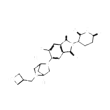 O=C1CCC(N2C(=O)c3cc(F)c(N4C[C@@H]5C[C@H]4CN5CC4CNC4)cc3C2=O)C(=O)N1